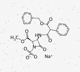 COC(=O)[C@H]1[C@@H](NC(=O)C(C(=O)OCc2ccccc2)c2ccccc2)C(=O)N1S(=O)(=O)[O-].[Na+]